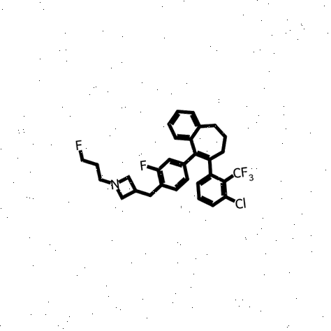 FCCCN1CC(Cc2ccc(C3=C(c4cccc(Cl)c4C(F)(F)F)CCCc4ccccc43)cc2F)C1